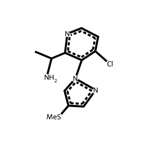 CSc1cnn(-c2c(Cl)ccnc2C(C)N)c1